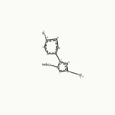 COc1cc(C(F)(F)F)nn1-c1ccc(Br)cc1